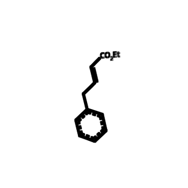 CCOC(=O)/C=C/Cc1ccccc1